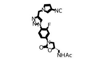 [C-]#[N+]c1ccn(Cc2cn(-c3ccc(N4C[C@H](CNC(C)=O)OC4=O)cc3F)nn2)c1